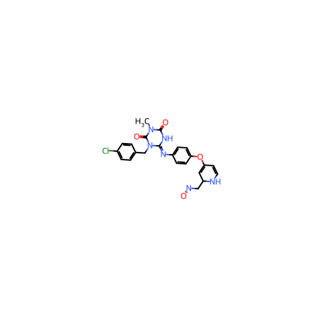 Cn1c(=O)[nH]/c(=N\c2ccc(OC3=CC(CN=O)NC=C3)cc2)n(Cc2ccc(Cl)cc2)c1=O